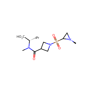 CC(C)[C@@H](C(=O)O)N(C)C(=O)C1CN(S(=O)(=O)C2C[N@@]2C)C1